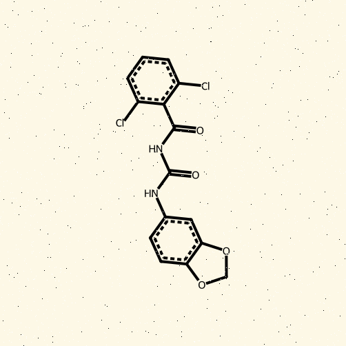 O=C(NC(=O)c1c(Cl)cccc1Cl)Nc1ccc2c(c1)OCO2